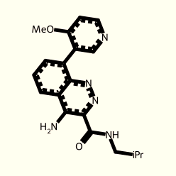 COc1ccncc1-c1cccc2c(N)c(C(=O)NCC(C)C)nnc12